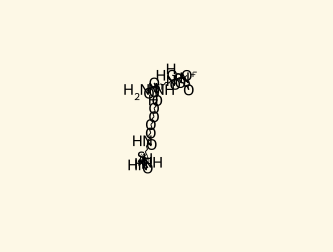 NC(=O)CNC(=O)[C@H](CCCCNC(=O)c1c(O)ccc2c1oc1cc(=O)ccc-1[n+]2[O-])NC(=O)CCOCCOCCOCCOCCOCCNC(=O)CCCC[C@@H]1SC[C@@H]2NC(=O)N[C@@H]21